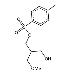 COCC(CO)COS(=O)(=O)c1ccc(C)cc1